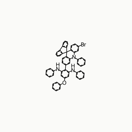 Brc1ccc2c(c1)N(c1ccccc1)c1cc(-c3c(Nc4ccccc4)cc(Oc4ccccc4)cc3Nc3ccccc3)ccc1C21c2ccccc2-c2ccccc21